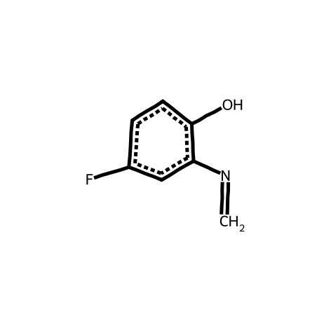 C=Nc1cc(F)ccc1O